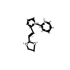 C(=C\C1OCCO1)/c1cccn1-c1ccccn1